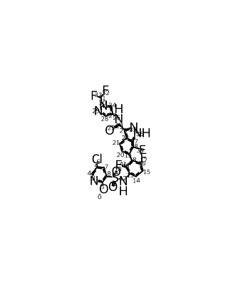 COc1ncc(Cl)cc1S(=O)(=O)Nc1ccc(F)c(-c2ccc3c(C(=O)Nc4cnn(C(F)F)c4)n[nH]c3c2F)c1F